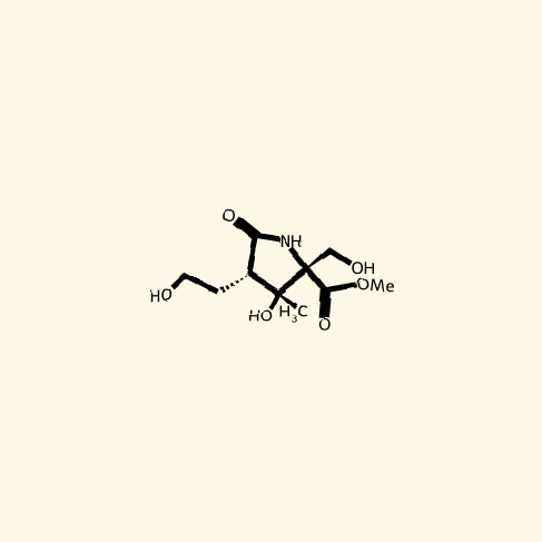 COC(=O)[C@@]1(CO)NC(=O)[C@@H](CCO)[C@@]1(C)O